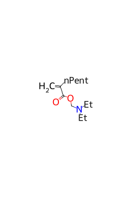 C=C(CCCCC)C(=O)OCN(CC)CC